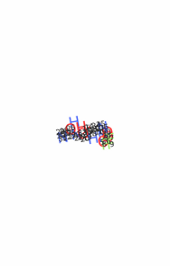 O=C(NS(=O)(=O)C(F)(F)F)c1cc(-c2ccc3c(c2)CC[C@H](CNC[C@H](O)c2cccnc2)O3)ccn1